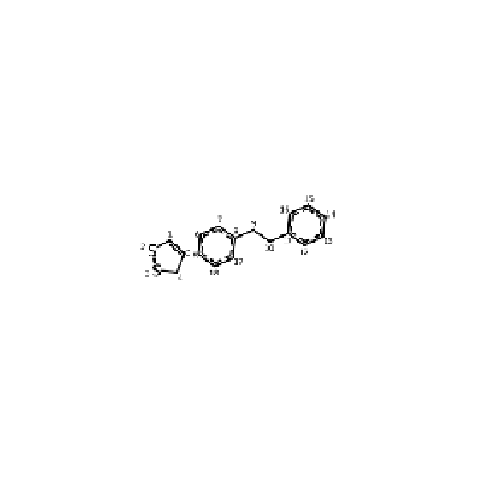 C1=CSSC1.c1ccc(CCc2ccccc2)cc1